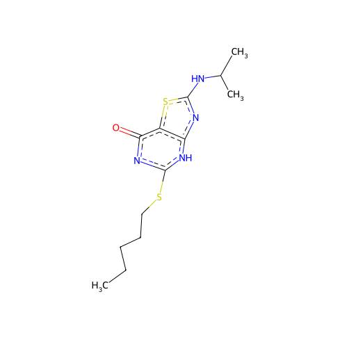 CCCCCSc1nc(=O)c2sc(NC(C)C)nc2[nH]1